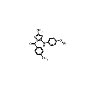 Cc1ccc(C(=O)n2nc(N)nc2Nc2ccc(OC(C)C)cc2)cc1